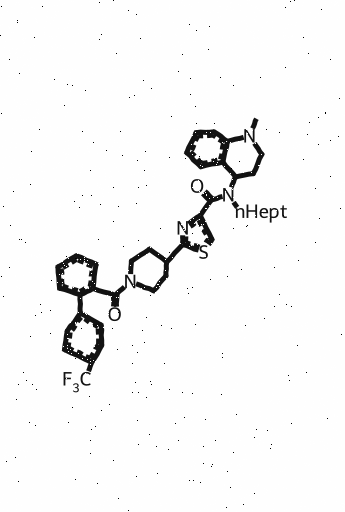 CCCCCCCN(C(=O)c1csc(C2CCN(C(=O)c3ccccc3-c3ccc(C(F)(F)F)cc3)CC2)n1)C1CCN(C)c2ccccc21